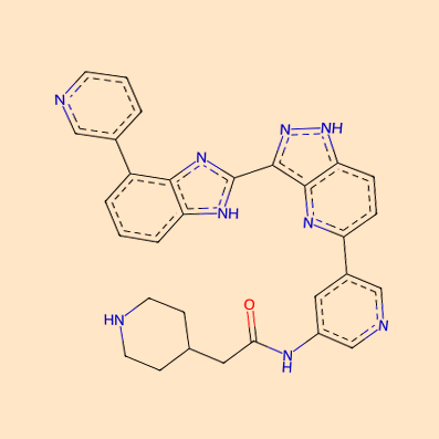 O=C(CC1CCNCC1)Nc1cncc(-c2ccc3[nH]nc(-c4nc5c(-c6cccnc6)cccc5[nH]4)c3n2)c1